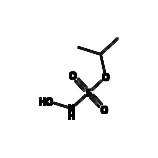 CC(C)OS(=O)(=O)NO